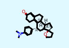 CC[C@]12C[C@H](c3ccc(N(C)C)cc3)C3=C4CCC(=O)C=C4CC[C@H]3[C@H]1CC[C@]21CCCO1